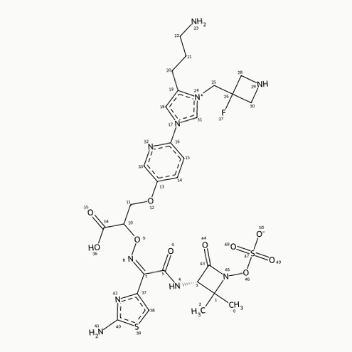 CC1(C)[C@H](NC(=O)/C(=N\OC(COc2ccc(-n3cc(CCCN)[n+](CC4(F)CNC4)c3)nc2)C(=O)O)c2csc(N)n2)C(=O)N1OS(=O)(=O)[O-]